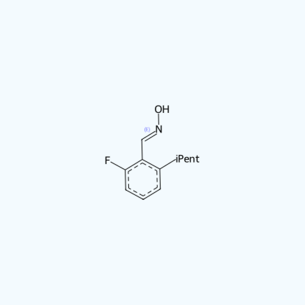 CCCC(C)c1cccc(F)c1/C=N/O